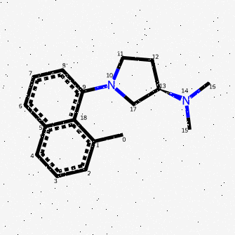 Cc1cccc2cccc(N3CC[C@@H](N(C)C)C3)c12